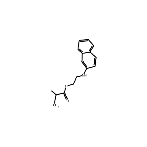 CC(I)C(=O)OCCNc1ccc2ccccc2c1